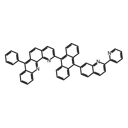 c1ccc(-c2c3ccccc3nc3c2ccc2ccc(-c4c5ccccc5c(-c5ccc6ccc(-c7ccccn7)nc6c5)c5ccccc45)nc23)cc1